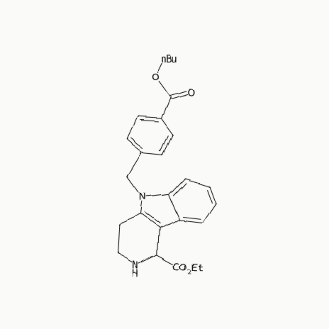 CCCCOC(=O)c1ccc(Cn2c3c(c4ccccc42)C(C(=O)OCC)NCC3)cc1